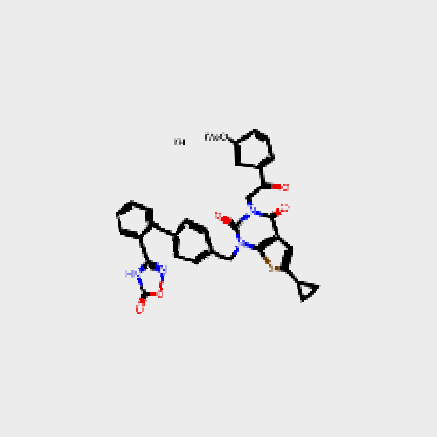 COc1cccc(C(=O)Cn2c(=O)c3cc(C4CC4)sc3n(Cc3ccc(-c4ccccc4-c4noc(=O)[nH]4)cc3)c2=O)c1.[KH]